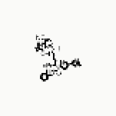 CCC/C(CCCCNc1ncc(C#N)c(NC2(CO)CC2)n1)=[N+](\C(=O)NCc1ccccc1)c1ccc(-c2cnn(C)c2)cn1